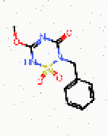 COC1=NC(=O)N(Cc2ccccc2)S(=O)(=O)N1